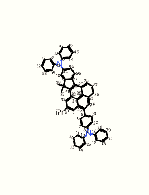 CC(C)c1cc2c(-c3ccc(N(c4ccccc4)c4ccccc4)cc3)cc3cccc4c5c(c(c1)c2c34)C(C)(C)c1cc(N(c2ccccc2)c2ccccc2)ccc1-5